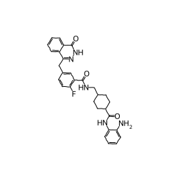 Nc1ccccc1NC(=O)C1CCC(CNC(=O)c2cc(Cc3n[nH]c(=O)c4ccccc34)ccc2F)CC1